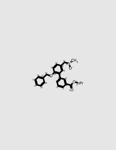 CCCOC(=O)c1cccc(-c2cc(C[S+](C)[O-])ccc2OCc2ccccc2)c1